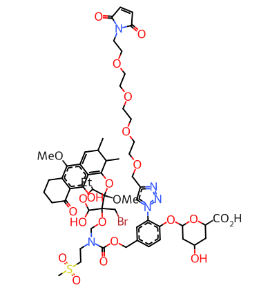 CCC1OC(O)C(CBr)(OCN(CCS(C)(=O)=O)C(=O)OCc2ccc(OC3CC(O)CC(C(=O)O)O3)c(-n3cc(COCCOCCOCCOCCN4C(=O)C=CC4=O)nn3)c2)C1(OC)OC1=c2c(O)c3c(c(OC)c2=CC(C)C1C)CCCC3=O